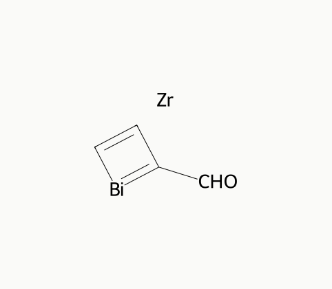 O=C[C]1=[Bi][CH]=C1.[Zr]